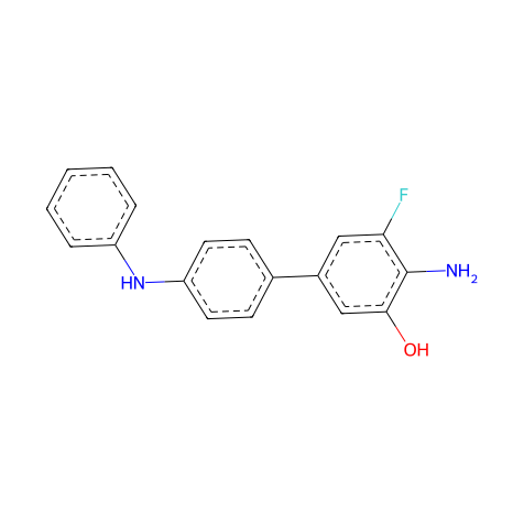 Nc1c(O)cc(-c2ccc(Nc3ccccc3)cc2)cc1F